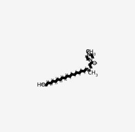 CN(CCCCCCCCCCCCCCCCCCO)CCC(=O)N1CCN(C)CC1